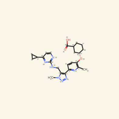 Cc1nc(-c2nnn(C)c2CNc2nccc(C3CC3)n2)ccc1O[C@H]1CCCC(C(=O)O)C1